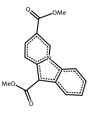 COC(=O)c1ccc2c(C(=O)OC)c3ccccc3n2c1